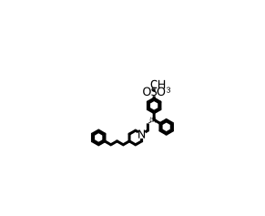 CS(=O)(=O)c1ccc([C@@H](CCN2CCC(CCCc3ccccc3)CC2)c2ccccc2)cc1